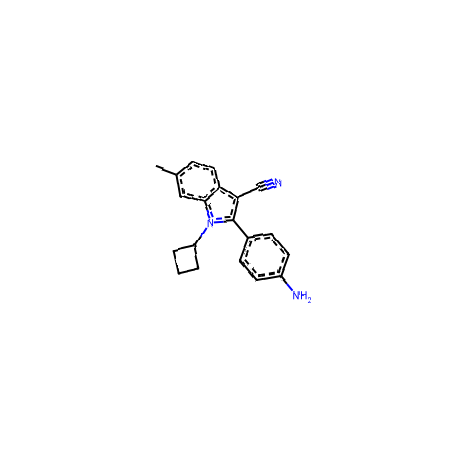 Cc1ccc2c(C#N)c(-c3ccc(N)cc3)n(C3CCC3)c2c1